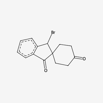 O=C1CCC2(CC1)C(=O)c1ccccc1C2Br